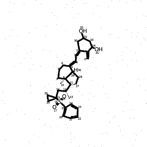 C=C1/C(=C\C=C2/CCC[C@]3(C)[C@@H]([C@H](C)CC4(S(=O)(=O)c5ccccc5)CC4)CC[C@@H]23)CC(O)CC1O